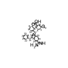 COc1ccc(-c2ccccc2Cn2cc(Cc3ccccc3)c3cc(C(=N)N)ccc32)c(C(=O)O)c1